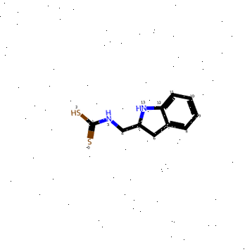 S=C(S)NCC1Cc2ccccc2N1